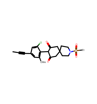 CC#Cc1cc(Cl)c(C2C(=O)CC3(CCN(S(=O)(=O)CC)CC3)CC2=O)c(OC)c1